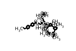 CCCc1ccc(-c2ccc(C(=O)NCCC(=O)N[C@@H](CCCNC(=N)N[N+](=O)[O-])C(=O)N(C)[C@@H]3C(=O)N[C@@H](C)C(=O)N[C@H](C(=O)OC)Cc4ccc(OC)c(c4)-c4cc3ccc4OC)cc2)cc1